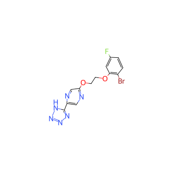 Fc1ccc(Br)c(OCCOc2cnc(-c3nnn[nH]3)cn2)c1